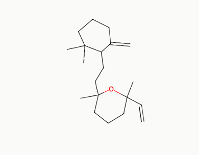 C=CC1(C)CCCC(C)(CCC2C(=C)CCCC2(C)C)O1